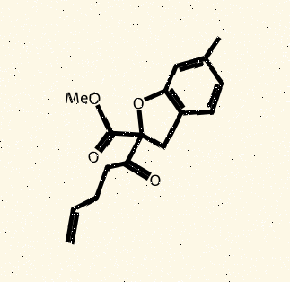 C=CCCC(=O)C1(C(=O)OC)Cc2ccc(C)cc2O1